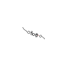 CCCCCCC[C@H]1CC[C@H](C(=O)Oc2ccc(-c3ncc([C@H]4CC[C@H](CCCC)CC4)cn3)cc2)CC1